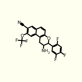 N#Cc1cc2ccc3c(c2cc1OC(F)(F)F)CC(N)C(c1cc(F)c(F)cc1F)O3